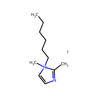 CCCCCC[N+]1(C)C=CN=C1C.[I-]